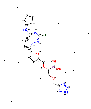 OP(O)C(COCc1nn[nH]n1)OCC1CCC(c2ccc3c(NC4CCCC4)nc(Cl)nn23)O1